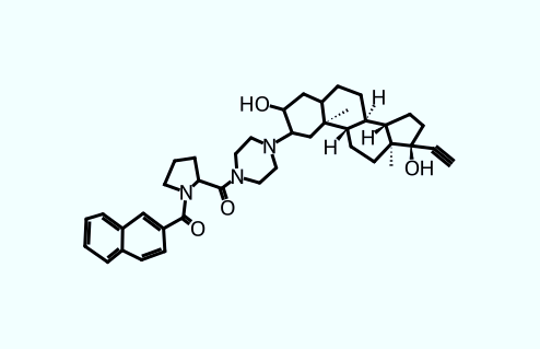 C#C[C@@]1(O)CC[C@H]2[C@@H]3CCC4CC(O)C(N5CCN(C(=O)C6CCCN6C(=O)c6ccc7ccccc7c6)CC5)C[C@]4(C)[C@H]3CC[C@@]21C